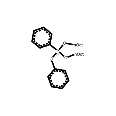 CCCCCCCCO[PH](OCCCCCCCC)(Oc1ccccc1)c1ccccc1